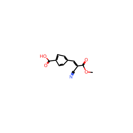 COC(=O)/C(C#N)=C/c1ccc(C(=O)O)cc1